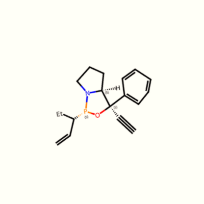 C#C[C@]1(c2ccccc2)O[P@](C(C=C)CC)N2CCC[C@H]21